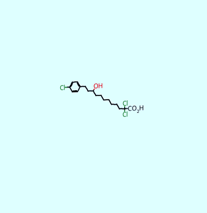 O=C(O)C(Cl)(Cl)CCCCCCCC(O)CCc1ccc(Cl)cc1